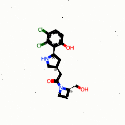 O=C(C[C@H]1CN[C@@H](c2c(O)ccc(Cl)c2Cl)C1)N1CC[C@H]1CO